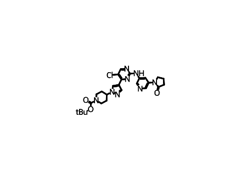 CC(C)(C)OC(=O)N1CCC(n2cc(-c3nc(Nc4cncc(N5CCCC5=O)c4)ncc3Cl)cn2)CC1